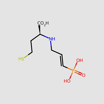 O=C(O)[C@H](CCS)NCC=CP(=O)(O)O